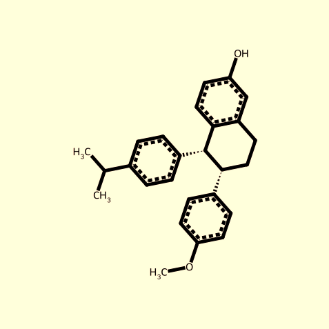 COc1ccc([C@H]2CCc3cc(O)ccc3[C@H]2c2ccc(C(C)C)cc2)cc1